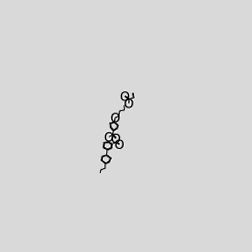 C=CC(=O)OCCCCOc1ccc(C(=O)Oc2ccc(-c3ccc(CCC)cc3)cc2C=O)cc1